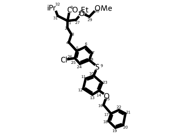 CCOC(=O)C(CCCc1ccc(Sc2cccc(OCc3ccccc3)c2)cc1Cl)(COCOC)CC(C)C